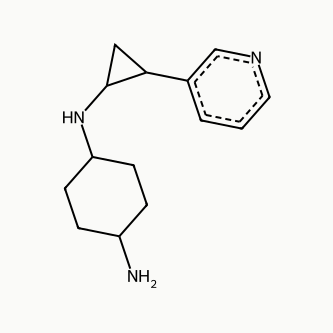 NC1CCC(NC2CC2c2cccnc2)CC1